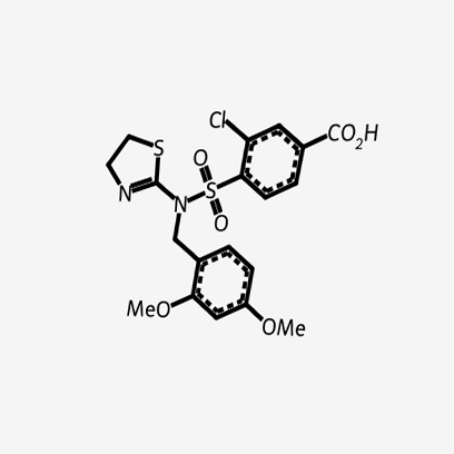 COc1ccc(CN(C2=NCCS2)S(=O)(=O)c2ccc(C(=O)O)cc2Cl)c(OC)c1